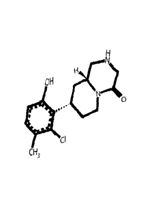 Cc1ccc(O)c([C@H]2CCN3C(=O)CNC[C@H]3C2)c1Cl